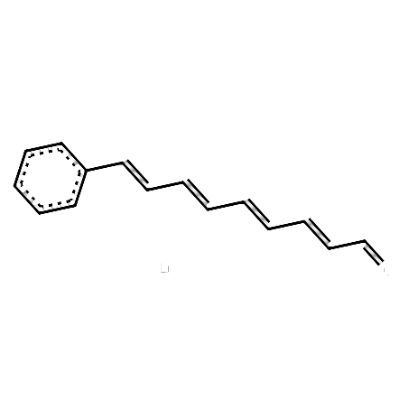 [CH]=CC=CC=CC=CC=Cc1ccccc1.[LiH]